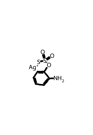 Nc1ccccc1OS(=O)(=O)[S-].[Ag+]